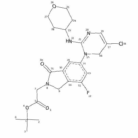 CC(C)(C)OC(=O)CN1Cc2c(F)cc(N3CC(Cl)=CN=C3NC3CCOCC3)cc2C1=O